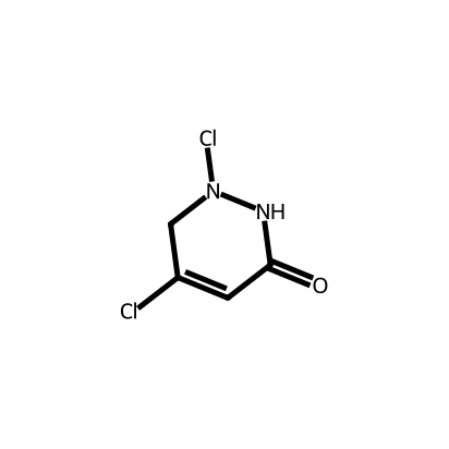 O=C1C=C(Cl)CN(Cl)N1